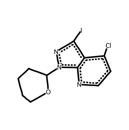 Clc1ccnc2c1c(I)nn2C1CCCCO1